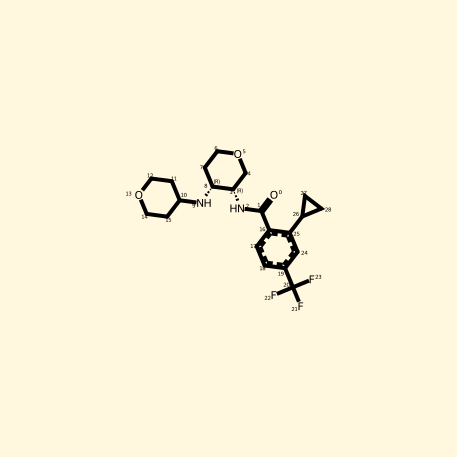 O=C(N[C@H]1COCC[C@H]1NC1CCOCC1)c1ccc(C(F)(F)F)cc1C1CC1